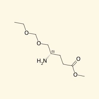 CCOCOC[C@@H](N)CCC(=O)OC